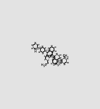 C/C=C\C=C/C(C)/C(c1ccc(C2=CC=CCN2)cc1)=c1/cccc/c1=C(/C)C1=c2ccccc2=C(C2=C(C)C=CCC2C)CC1